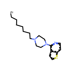 CC(C)CC[CH]CCCCN1CCN(c2nccc3sccc23)CC1